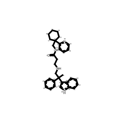 CC(CNCCC(=O)NCC1(c2ccccn2)CCCCC1)(c1ccccc1)c1c[nH]c2ccccc12